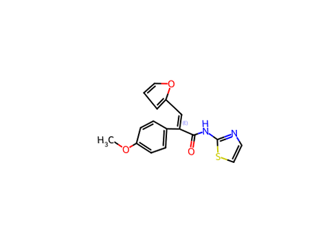 COc1ccc(/C(=C\c2ccco2)C(=O)Nc2nccs2)cc1